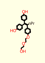 CCCC(=C(c1ccc(O)cc1)c1ccc(O)cc1)c1ccc(OCCOCCO)cc1